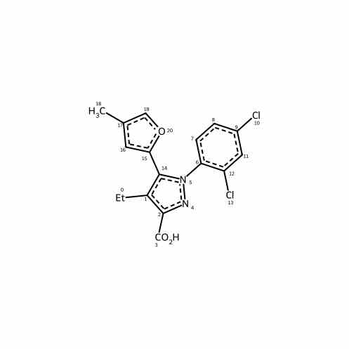 CCc1c(C(=O)O)nn(-c2ccc(Cl)cc2Cl)c1-c1cc(C)co1